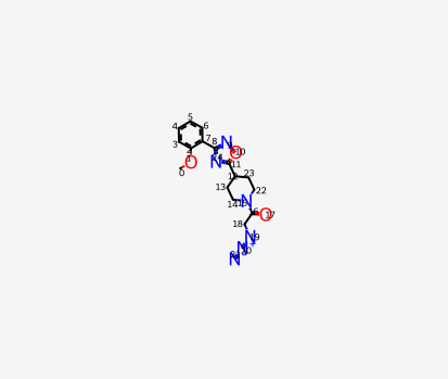 COc1ccccc1-c1noc(C2CCN(C(=O)CN=[N+]=[N-])CC2)n1